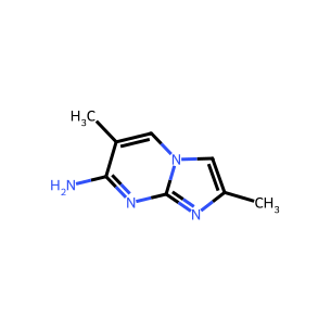 Cc1cn2cc(C)c(N)nc2n1